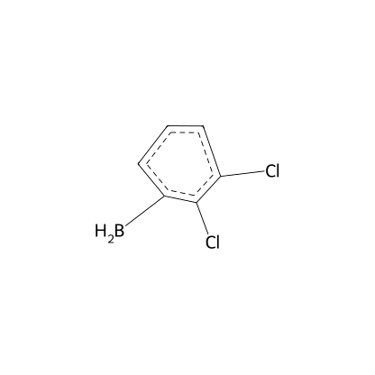 Bc1cccc(Cl)c1Cl